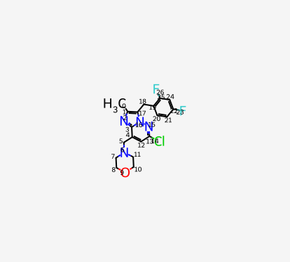 Cc1nc2c(CN3CCOCC3)cc(Cl)nn2c1Cc1ccc(F)cc1F